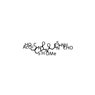 CON(C(=O)Cc1csc(NC=O)n1)C1C(=O)N2C(C(=O)O)=C(COC(C)=O)CS[C@H]12